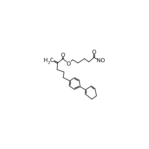 C=C(CCCc1ccc(C2=CCCC=C2)cc1)C(=O)OCCCCC(=O)N=O